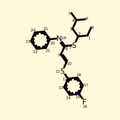 CCC(CC(C)C)SC(C=CSc1ccc(F)cc1)=Nc1ccccc1